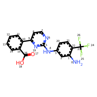 Nc1cc(Nc2nccc(-c3ccccc3C(=O)O)n2)ccc1C(F)(F)F